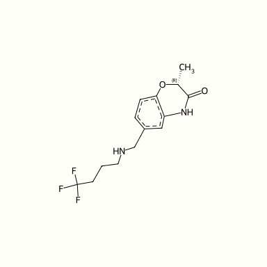 C[C@H]1Oc2ccc(CNCCCC(F)(F)F)cc2NC1=O